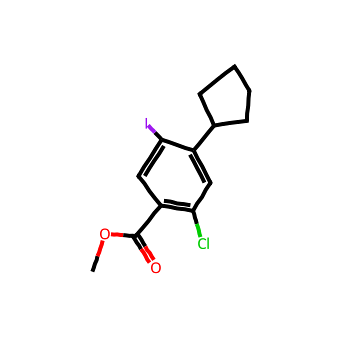 COC(=O)c1cc(I)c(C2CCCC2)cc1Cl